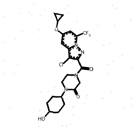 O=C(c1nn2c(C(F)(F)F)cc(OC3CC3)cc2c1Cl)N1CCN(C2CCC(O)CC2)C(=O)C1